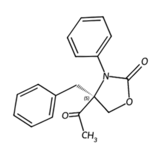 CC(=O)[C@]1(Cc2ccccc2)COC(=O)N1c1ccccc1